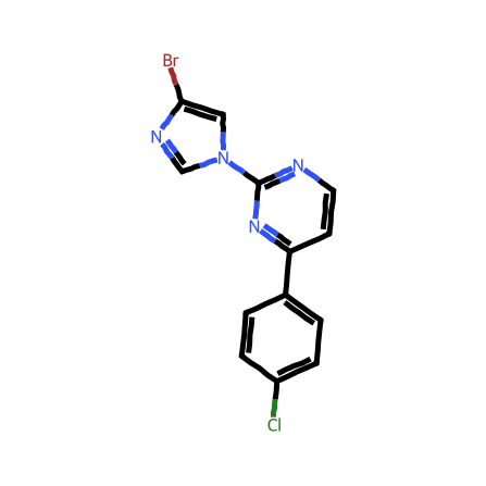 Clc1ccc(-c2ccnc(-n3cnc(Br)c3)n2)cc1